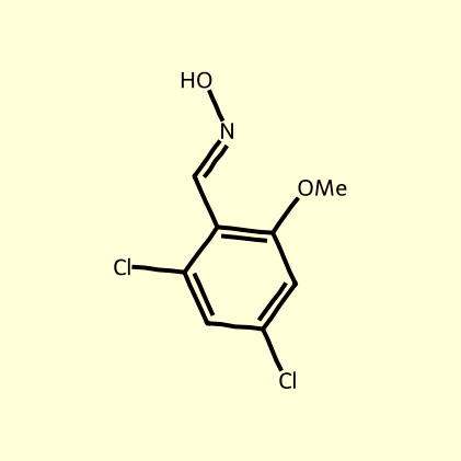 COc1cc(Cl)cc(Cl)c1C=NO